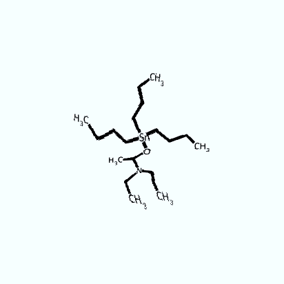 CCC[CH2][Sn]([CH2]CCC)([CH2]CCC)[O]C(C)N(CC)CC